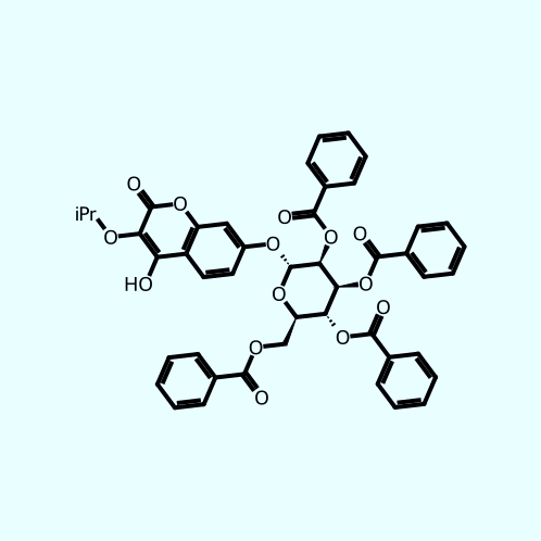 CC(C)Oc1c(O)c2ccc(O[C@H]3O[C@H](COC(=O)c4ccccc4)[C@@H](OC(=O)c4ccccc4)[C@H](OC(=O)c4ccccc4)[C@@H]3OC(=O)c3ccccc3)cc2oc1=O